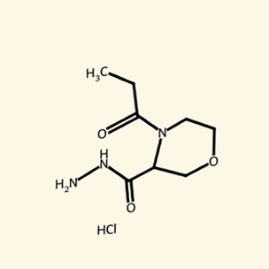 CCC(=O)N1CCOCC1C(=O)NN.Cl